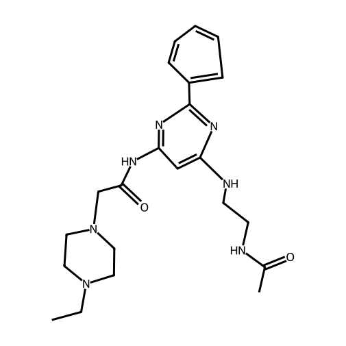 CCN1CCN(CC(=O)Nc2cc(NCCNC(C)=O)nc(-c3ccccc3)n2)CC1